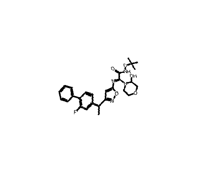 CC(c1ccc(-c2ccccc2)c(F)c1)c1cc(/N=C(/C(=O)NOC(C)(C)C)N2CCOCC2O)on1